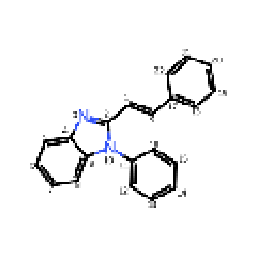 C(=Cc1nc2ccccc2n1-c1ccccc1)c1ccccc1